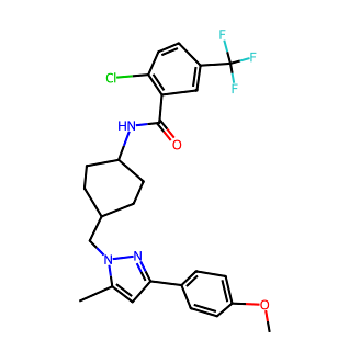 COc1ccc(-c2cc(C)n(CC3CCC(NC(=O)c4cc(C(F)(F)F)ccc4Cl)CC3)n2)cc1